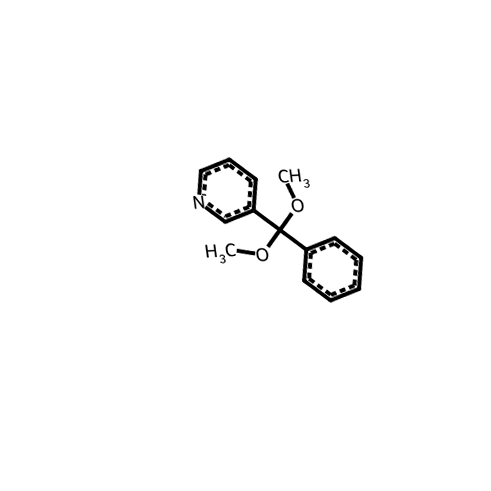 COC(OC)(c1ccccc1)c1cccnc1